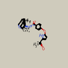 CC(=O)c1ccc(Oc2ccc(C(=O)N[C@@H]3C4CCN(CC4)[C@H]3C)cc2)[nH]1